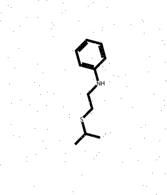 CC(C)SCCNc1ccccc1